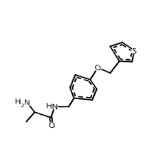 CC(N)C(=O)NCc1ccc(OCc2ccsc2)cc1